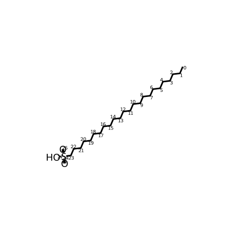 CCCCCCCCCCCCCCCCCCCCCCCCS(=O)(=O)O